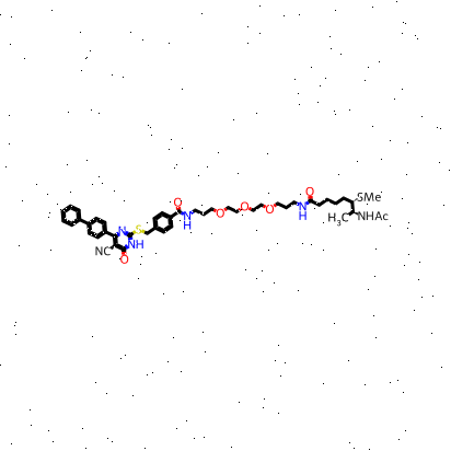 CS[C@@H](CCCCC(=O)NCCCOCCOCCOCCCNC(=O)c1ccc(CSc2nc(-c3ccc(-c4ccccc4)cc3)c(C#N)c(=O)[nH]2)cc1)[C@H](C)NC(C)=O